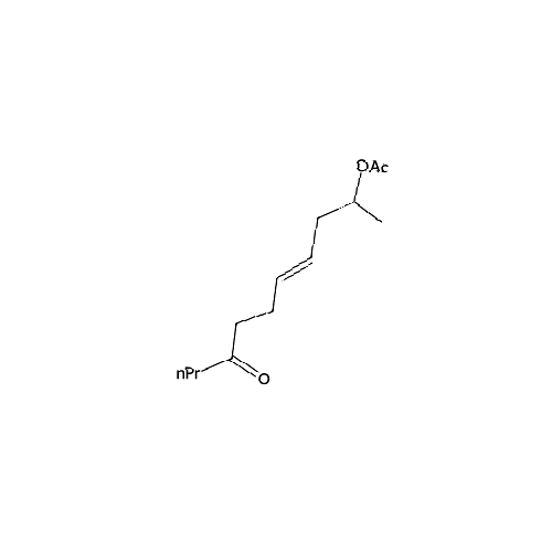 CCCC(=O)CC/C=C/CC(C)OC(C)=O